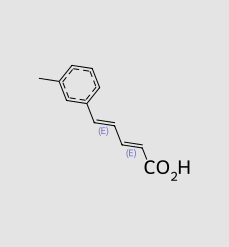 Cc1cccc(/C=C/C=C/C(=O)O)c1